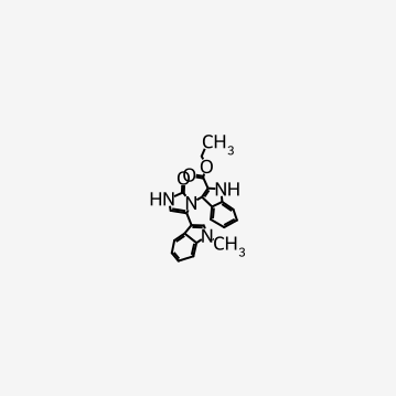 CCOC(=O)c1[nH]c2ccccc2c1-n1c(-c2cn(C)c3ccccc23)c[nH]c1=O